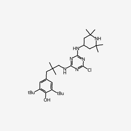 CC(C)(CNc1nc(Cl)nc(NC2CC(C)(C)NC(C)(C)C2)n1)Cc1cc(C(C)(C)C)c(O)c(C(C)(C)C)c1